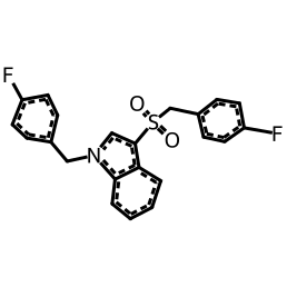 O=S(=O)(Cc1ccc(F)cc1)c1cn(Cc2ccc(F)cc2)c2ccccc12